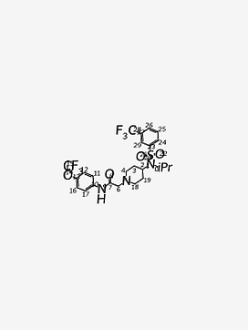 CC(C)N(C1CCN(CC(=O)Nc2ccc(OC(F)(F)F)cc2)CC1)S(=O)(=O)c1cccc(C(F)(F)F)c1